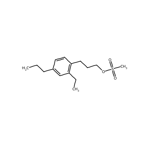 [CH2]CCc1ccc(CCCOS(C)(=O)=O)c(CC)c1